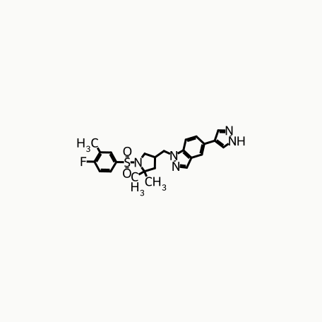 Cc1cc(S(=O)(=O)N2CC(Cn3ncc4cc(-c5cn[nH]c5)ccc43)CC2(C)C)ccc1F